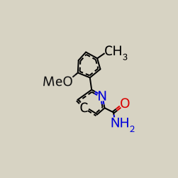 COc1ccc(C)cc1-c1cccc(C(N)=O)n1